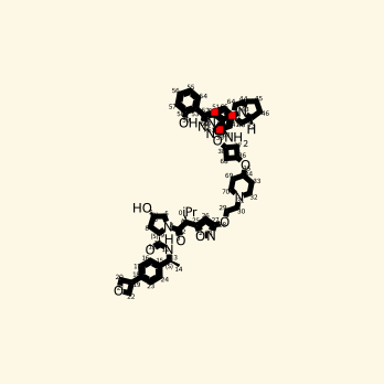 CC(C)[C@@H](C(=O)N1C[C@H](O)C[C@H]1C(=O)N[C@@H](C)c1ccc(C2COC2)cc1)c1cc(OCCN2CCC(OC3CC(Oc4cc(N5C6CC[C@@H]5CN(c5cc(-c7ccccc7O)nnc5N)C6)ccn4)C3)CC2)no1